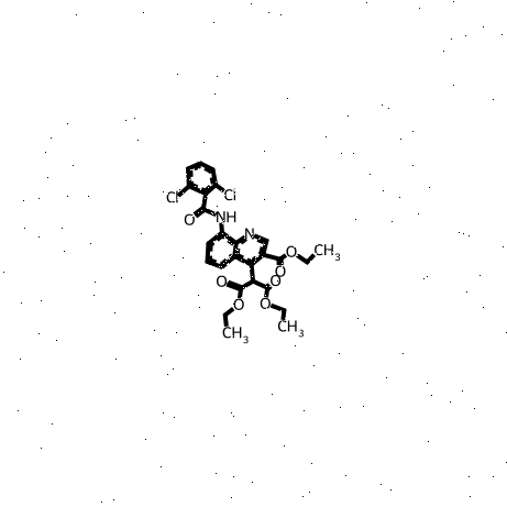 CCOC(=O)c1cnc2c(NC(=O)c3c(Cl)cccc3Cl)cccc2c1C(C(=O)OCC)C(=O)OCC